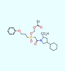 CCC(=O)OCOP(=O)(CCCOc1ccccc1)CC(=O)N1CC(C2CCCCC2)CC1C(=O)O